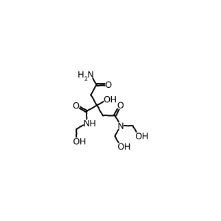 NC(=O)CC(O)(CC(=O)N(CO)CO)C(=O)NCO